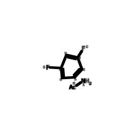 CC(N)=O.Fc1cccc(F)c1